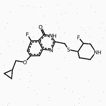 O=c1[nH]c(CSC2CCNCC2F)nc2cc(OCC3CC3)cc(F)c12